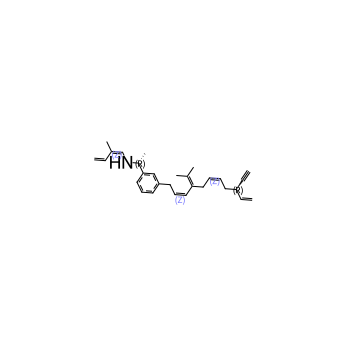 C#C[C@@H](C=C)C/C=C\CC(/C=C\Cc1cccc([C@@H](C)N/C=C(/C)C=C)c1)=C(C)C